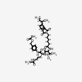 BC(=O)OCc1ccc(NC(=O)[C@H](CCCNC(N)=O)NC(=O)C(NC(=O)CCCCCN2C(=O)C3C4C=C(C(C)CC)C(C4)C3C2=O)C(C)C)cc1